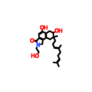 CC(C)=CCC/C(C)=C/CCC1(C)Cc2c(c(O)cc3c2CN(CCO)C3=O)CC1O